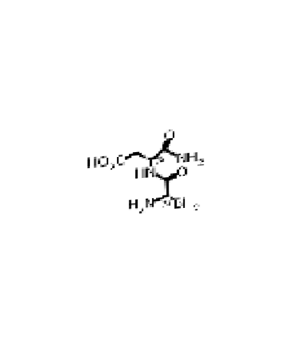 B[C@H](N)C(=O)N[C@@H](CC(=O)O)C(N)=O